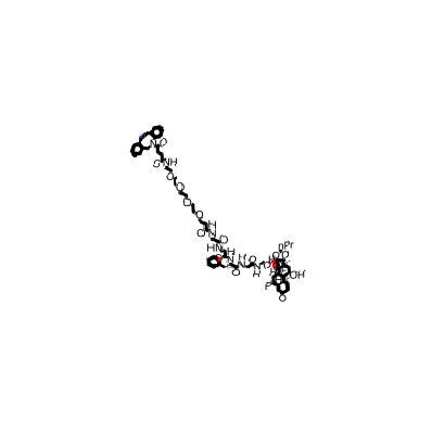 CCCC1O[C@@H]2C[C@H]3[C@@H]4C[C@H](F)C5=CC(=O)C=C[C@]5(C)[C@@]4(F)[C@@H](O)C[C@]3(C)[C@]2(C(=O)COCNC(=O)CNC(=O)[C@H](Cc2ccccc2)NC(=O)CNC(=O)CNC(=O)CCOCCOCCOCCOCCNC(=O)CCC(=O)N2Cc3ccccc3/C=C\c3ccccc32)O1